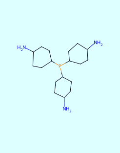 NC1CCC(P(C2CCC(N)CC2)C2CCC(N)CC2)CC1